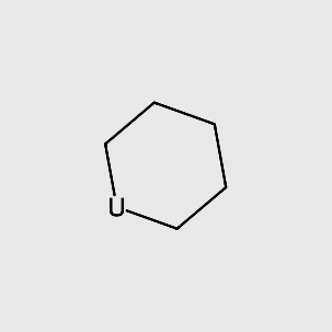 C1C[CH2][U][CH2]C1